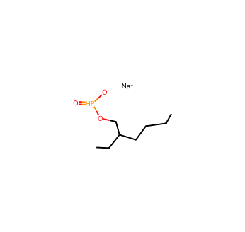 CCCCC(CC)CO[PH](=O)[O-].[Na+]